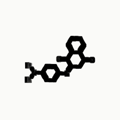 CCN(CC)c1ccc(N=C2CC(=O)c3ccccc3C2=O)cc1